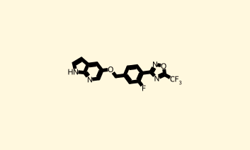 Fc1cc(COc2cnc3[nH]ccc3c2)ccc1-c1noc(C(F)(F)F)n1